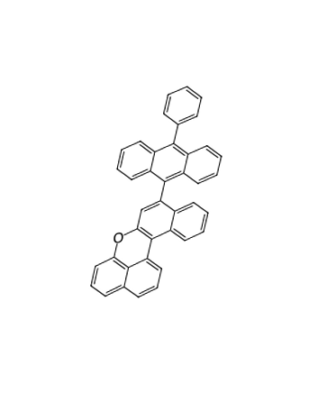 c1ccc(-c2c3ccccc3c(-c3cc4c(c5ccccc35)-c3cccc5cccc(c35)O4)c3ccccc23)cc1